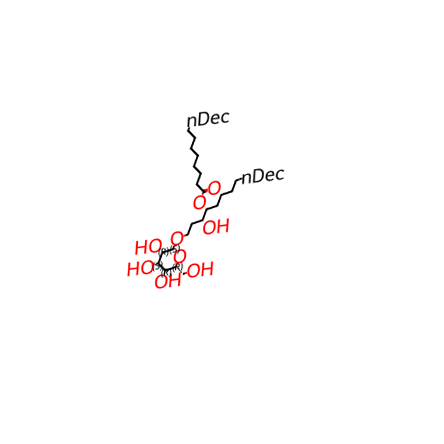 CCCCCCCCCCCCCCCCCC(=O)OC(CCCCCCCCCCCCCC)C(O)CCO[C@H]1O[C@H](CO)[C@H](O)[C@H](O)[C@H]1O